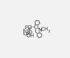 Cn1c2c3ccccc3c(Cl)c-2cc2ccccc21.O=S(=O)(O)C(F)(F)F